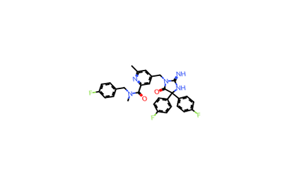 Cc1cc(CN2C(=N)NC(c3ccc(F)cc3)(c3ccc(F)cc3)C2=O)cc(C(=O)N(C)Cc2ccc(F)cc2)n1